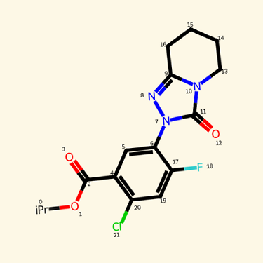 CC(C)OC(=O)c1cc(-n2nc3n(c2=O)CCCC3)c(F)cc1Cl